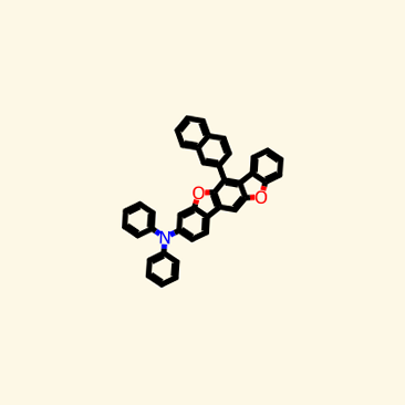 c1ccc(N(c2ccccc2)c2ccc3c(c2)oc2c(-c4ccc5ccccc5c4)c4c(cc23)oc2ccccc24)cc1